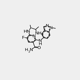 CC(N)C(C)Nc1nc(Nc2ccc3c(cnn3C)c2)c(C(N)=O)cc1F